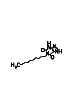 CCCCCCCCCCn1c(=O)[nH]c2nc[nH]c2c1=O